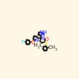 C=C1CC(c2cc[nH]n2)(c2cccc(Oc3ccc(F)cc3)n2)NC(=O)C1Sc1ccccc1C